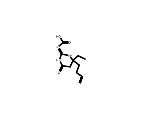 C=CCCC1(CC)CC(=O)NC(=NC(=O)O)N1